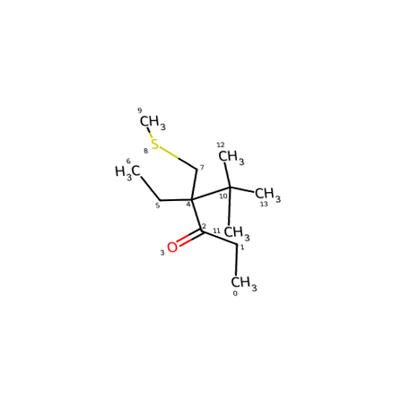 CCC(=O)C(CC)(CSC)C(C)(C)C